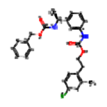 Cc1cc(Br)ccc1CCOC(=O)Nc1cccc([C@H](C)NC(=O)OCc2ccccc2)c1